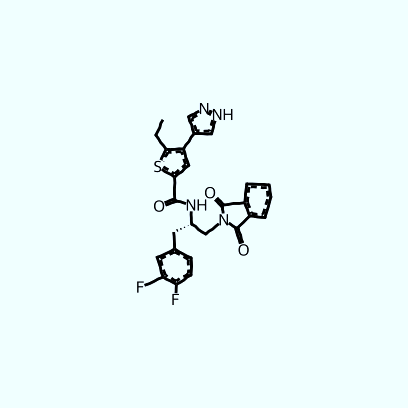 CCc1sc(C(=O)N[C@@H](Cc2ccc(F)c(F)c2)CN2C(=O)c3ccccc3C2=O)cc1-c1cn[nH]c1